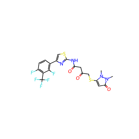 Cn1c(SCC(=O)CC(=O)Nc2nc(-c3ccc(F)c(C(F)(F)F)c3F)cs2)cc(=O)n1C